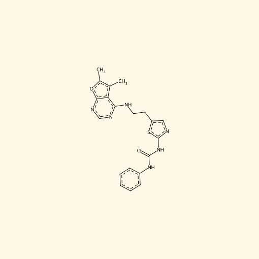 Cc1oc2ncnc(NCCc3cnc(NC(=O)Nc4ccccc4)s3)c2c1C